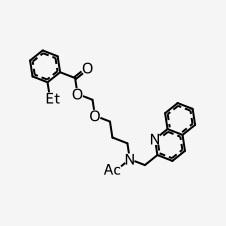 CCc1ccccc1C(=O)OCOCCCN(Cc1ccc2ccccc2n1)C(C)=O